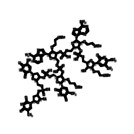 CC[C@H]1O[C@@H](n2cc(C)c(=O)[nH]c2=O)CC1OP(=O)(S)OC[C@H]1O[C@@H](n2cc(C)c(=O)[nH]c2=O)CC1OP(=O)(S)OC[C@H]1O[C@@H](n2cc(C)c(=O)[nH]c2=O)[C@@H](OCCOC)C1OP(=O)(O)OC[C@H]1O[C@@H](n2cnc3c(N)ncnc32)[C@@H](OCCOC)C1OP(=O)(S)OC[C@H]1O[C@@H](n2cnc3c(N)ncnc32)[C@@H](OCCOC)C1OP(=O)(S)OC[C@H]1O[C@@H](n2cc(C)c(N)nc2=O)[C@@H](OCCOC)C1O